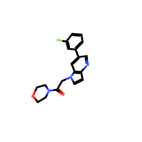 O=C(Cn1ccc2ncc(-c3cccc(F)c3)cc21)N1CCOCC1